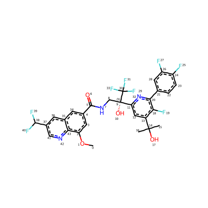 COc1cc(C(=O)NC[C@](O)(c2cc(C(C)(C)O)c(F)c(-c3ccc(F)c(F)c3)n2)C(F)(F)F)cc2cc(C(F)F)cnc12